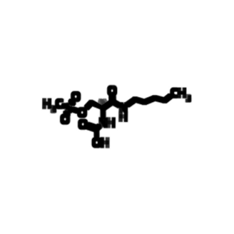 CCCCCNC(=O)[C@H](COS(C)(=O)=O)NC(=O)O